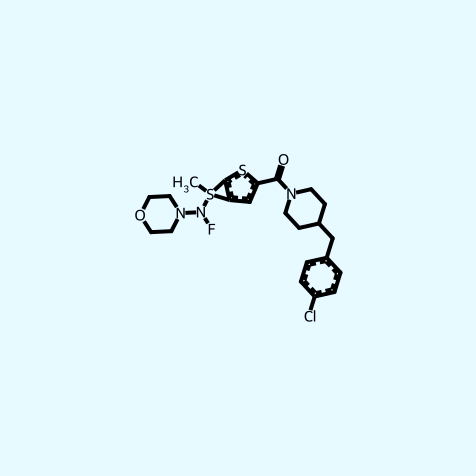 CS1(N(F)N2CCOCC2)c2cc(C(=O)N3CCC(Cc4ccc(Cl)cc4)CC3)sc21